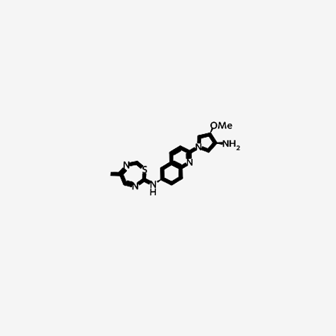 CO[C@H]1CN(c2ccc3c(n2)CC[C@H](NC2N=CC(C)=NCS2)C3)C[C@@H]1N